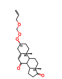 C=CCOCOO[C@H]1CC[C@@]2(C)C(=CC(=O)C3C2CC[C@]2(C)C(=O)CCC32)C1